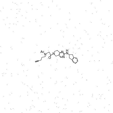 C#CCCCN(CC(=O)N1CCc2nc(NC3Cc4ccccc4C3)ncc2C1)C(C)=O